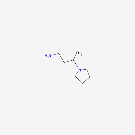 CC(CCN)N1CCCC1